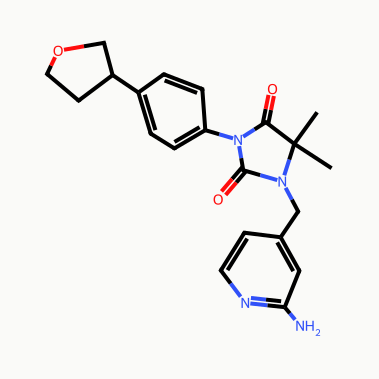 CC1(C)C(=O)N(c2ccc(C3CCOC3)cc2)C(=O)N1Cc1ccnc(N)c1